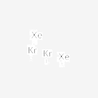 [Kr].[Kr].[Xe].[Xe]